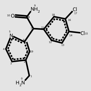 NCc1ccnc(C(C(N)=O)c2ccc(Cl)c(Cl)c2)c1